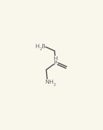 BC[PH](=C)CN